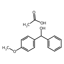 CC(=O)O.COc1ccc(C(O)c2ccccc2)cc1